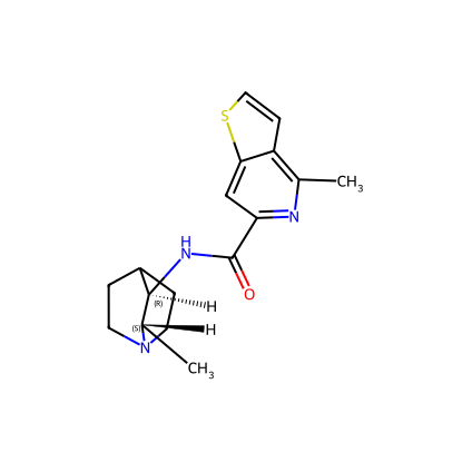 Cc1nc(C(=O)N[C@@H]2C3CCN(CC3)[C@H]2C)cc2sccc12